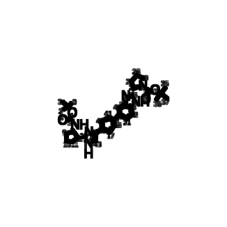 CC(C)(C)OC(=O)N[C@H]1CCC[C@@H]1c1nc(-c2ccc(-c3ccc4[nH]c([C@@H]5CCCN5C(=O)OC(C)(C)C)nc4c3)cc2)c[nH]1